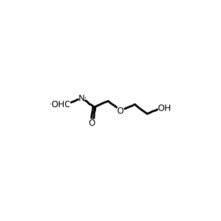 O=[C][N]C(=O)COCCO